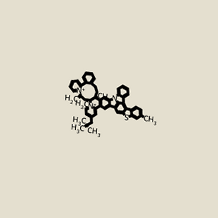 C=C1CC2(C)[n+]3ccc(CC(C)(C)C)cc3-c3cc4c5cc6sc7cc(C)ccc7c6c6c7ccccc7n(c4cc3C2(C)CCc2ccccc2-c2cccc[n+]21)c56